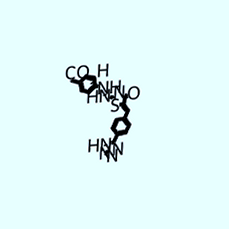 O=C(O)Cc1ccc(NNC2=NC(=O)C(=Cc3ccc(-c4nnn[nH]4)cc3)S2)cc1